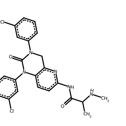 CNC(C)C(=O)Nc1ccc2c(n1)CN(c1cccc(Cl)c1)C(=O)N2c1cccc(Cl)c1